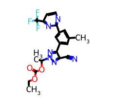 CCOC(=O)OC(C)n1nc(C#N)c(-c2cc(C)cc(-c3nccc(C(F)(F)F)n3)c2)n1